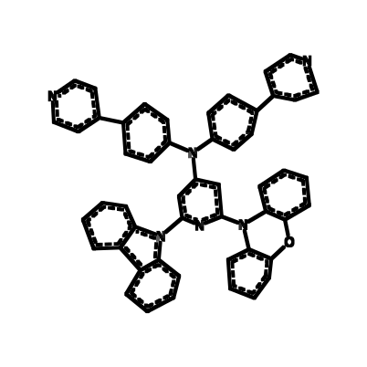 c1ccc2c(c1)Oc1ccccc1N2c1cc(N(c2ccc(-c3ccncc3)cc2)c2ccc(-c3ccncc3)cc2)cc(-n2c3ccccc3c3ccccc32)n1